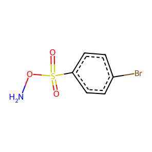 NOS(=O)(=O)c1ccc(Br)cc1